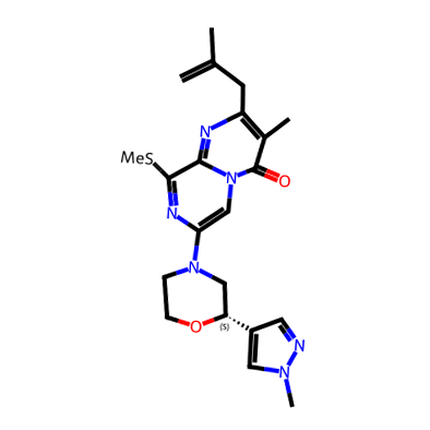 C=C(C)Cc1nc2c(SC)nc(N3CCO[C@@H](c4cnn(C)c4)C3)cn2c(=O)c1C